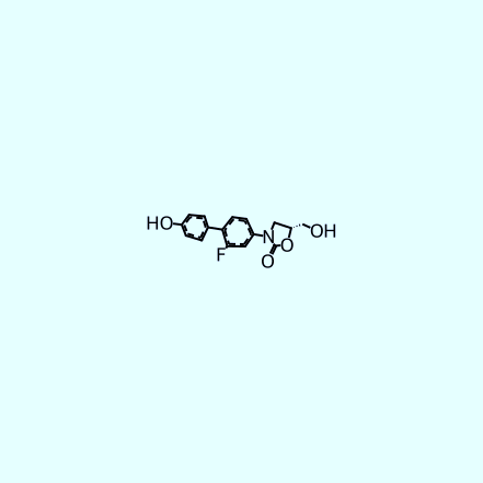 O=C1O[C@@H](CO)CN1c1ccc(-c2ccc(O)cc2)c(F)c1